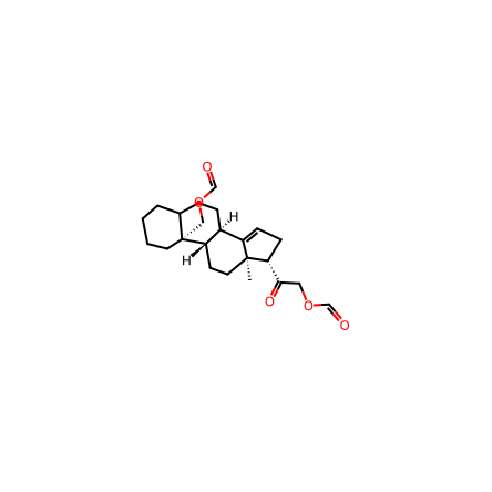 C[C@]12CC[C@H]3[C@@H](CCC4CCCC[C@@]43COC=O)C1=CC[C@@H]2C(=O)COC=O